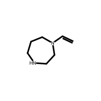 C=CN1CCCNCC1